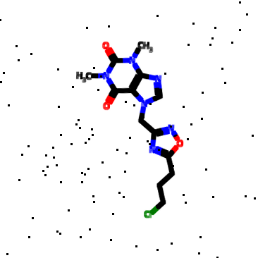 Cn1c(=O)c2c(ncn2Cc2noc(CCCCl)n2)n(C)c1=O